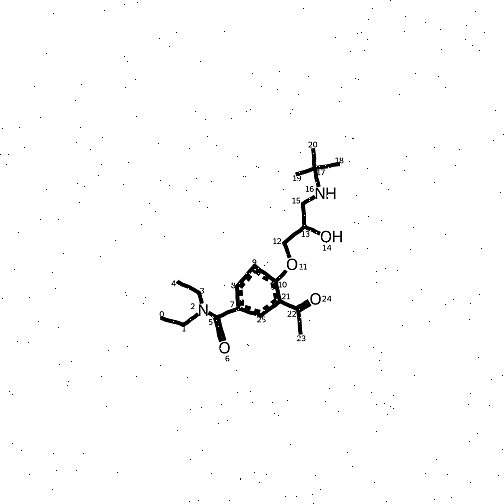 CCN(CC)C(=O)c1ccc(OCC(O)CNC(C)(C)C)c(C(C)=O)c1